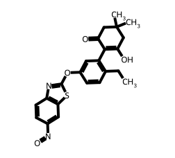 CCc1ccc(Oc2nc3ccc(N=O)cc3s2)cc1C1=C(O)CC(C)(C)CC1=O